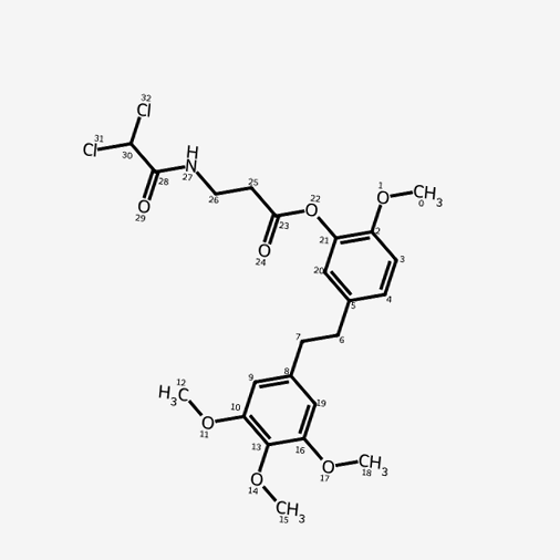 COc1ccc(CCc2cc(OC)c(OC)c(OC)c2)cc1OC(=O)CCNC(=O)C(Cl)Cl